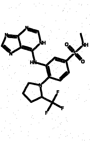 CNS(=O)(=O)c1ccc(N2CCCC2C(F)(F)F)c(Nc2[nH]cnc3ncnc2-3)c1